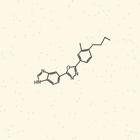 CCCCc1ccc(-c2nnc(-c3ccc4[nH]cnc4c3)o2)cc1C